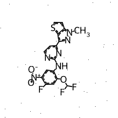 Cn1nc(-c2ccnc(Nc3cc([N+](=O)[O-])c(F)cc3OC(F)F)n2)c2sccc21